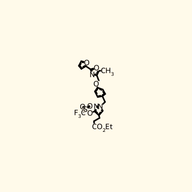 CCOC(=O)CCc1cn(Cc2ccc(OCc3nc(-c4ccco4)oc3C)cc2)nc1OS(=O)(=O)C(F)(F)F